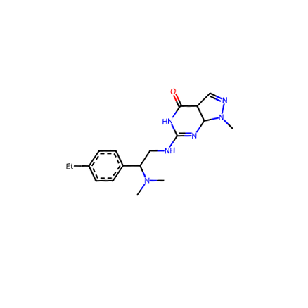 CCc1ccc(C(CNC2=NC3C(C=NN3C)C(=O)N2)N(C)C)cc1